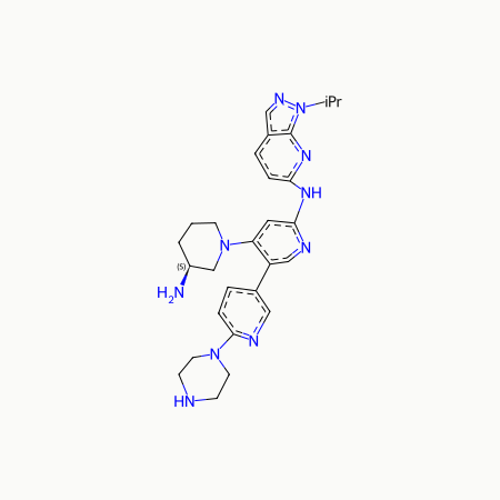 CC(C)n1ncc2ccc(Nc3cc(N4CCC[C@H](N)C4)c(-c4ccc(N5CCNCC5)nc4)cn3)nc21